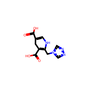 O=C(O)C1=CNC(Cn2cnnc2)=C(C(=O)O)C1